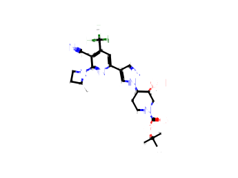 C[C@H]1CCN1c1nc(-c2cnn(C3CCN(C(=O)OC(C)(C)C)CC3O)c2)cc(C(F)(F)F)c1C#N